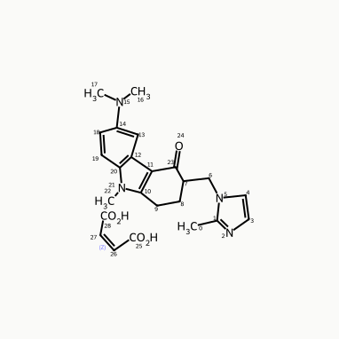 Cc1nccn1CC1CCc2c(c3cc(N(C)C)ccc3n2C)C1=O.O=C(O)/C=C\C(=O)O